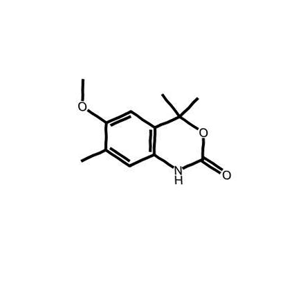 COc1cc2c(cc1C)NC(=O)OC2(C)C